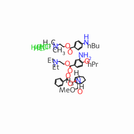 CCCCNc1ccc(C(=O)OCCN(C)C)cc1.CCCOc1ccc(C(=O)OCCN(CC)CC)cc1N.COC(=O)[C@H]1[C@@H](OC(=O)c2ccccc2)C[C@@H]2CC[C@H]1N2C.Cl.Cl.Cl.Cl